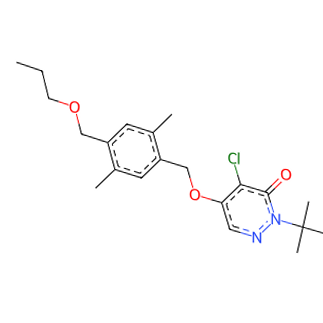 CCCOCc1cc(C)c(COc2cnn(C(C)(C)C)c(=O)c2Cl)cc1C